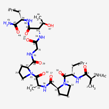 CC(=O)N[C@@H](C)C(=O)N[C@@H](CC(C)C)C(=O)N1CCC[C@H]1C(=O)N[C@H](C)C(=O)N1CCC[C@H]1C(=O)NCC(=O)N[C@H](C(=O)N[C@@H](CC(C)C)C(N)=O)[C@@H](C)O